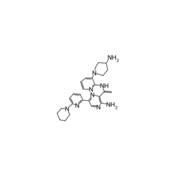 C=C(Nc1ncccc1N1CCC(N)CC1)c1nc(-c2cccc(N3CCCCC3)n2)cnc1N